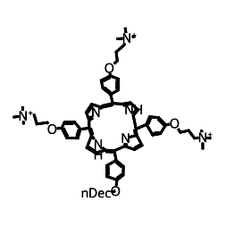 CCCCCCCCCCOc1ccc(-c2c3nc(c(-c4ccc(OCCC[N+](C)(C)C)cc4)c4ccc([nH]4)c(-c4ccc(OCCC[N+](C)(C)C)cc4)c4nc(c(-c5ccc(OCCC[N+](C)(C)C)cc5)c5ccc2[nH]5)C=C4)C=C3)cc1